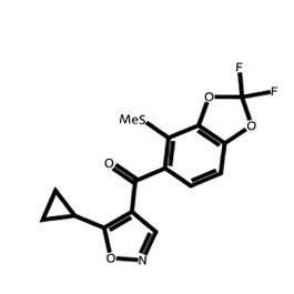 CSc1c(C(=O)c2cnoc2C2CC2)ccc2c1OC(F)(F)O2